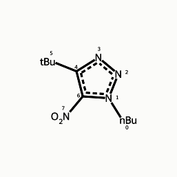 CCCCn1nnc(C(C)(C)C)c1[N+](=O)[O-]